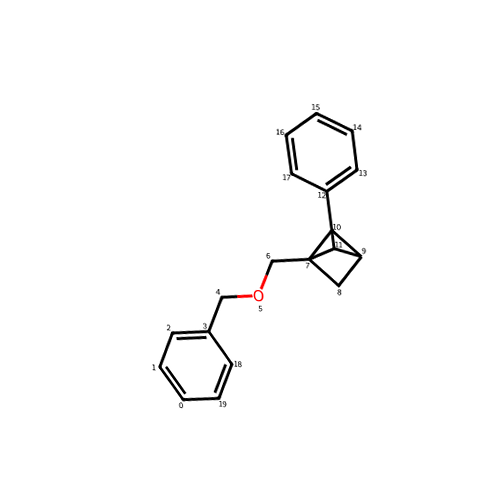 c1ccc(COCC23CC(C2)C3c2ccccc2)cc1